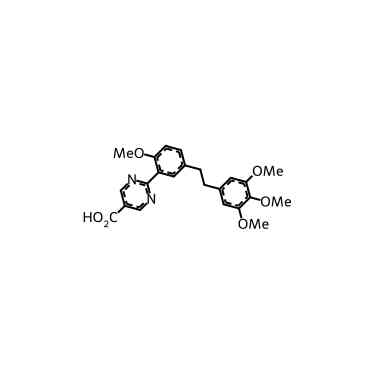 COc1ccc(CCc2cc(OC)c(OC)c(OC)c2)cc1-c1ncc(C(=O)O)cn1